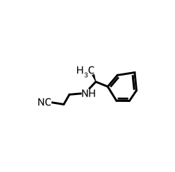 C[C@H](NCCC#N)c1ccccc1